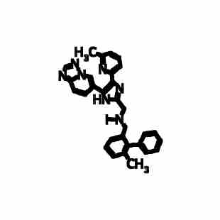 Cc1cccc(-c2nc(CN(I)Cc3cccc(C)c3-c3ccccc3)[nH]c2-c2ccc3ncnn3c2)n1